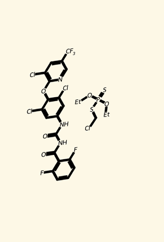 CCOP(=S)(OCC)SCCl.O=C(NC(=O)c1c(F)cccc1F)Nc1cc(Cl)c(Oc2ncc(C(F)(F)F)cc2Cl)c(Cl)c1